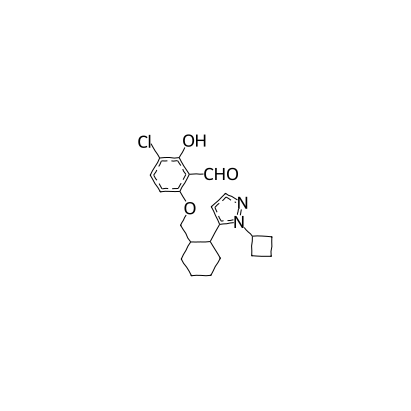 O=Cc1c(OCC2CCCCC2c2ccnn2C2CCC2)ccc(Cl)c1O